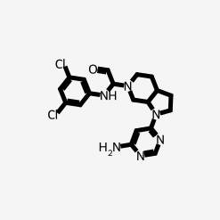 Nc1cc(N2CCC3CCN(C(C=O)Nc4cc(Cl)cc(Cl)c4)CC32)ncn1